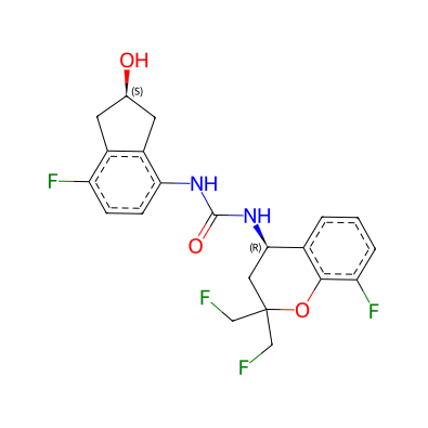 O=C(Nc1ccc(F)c2c1C[C@H](O)C2)N[C@@H]1CC(CF)(CF)Oc2c(F)cccc21